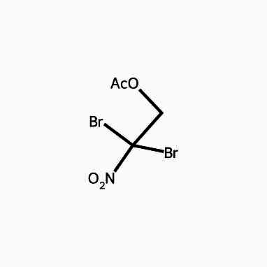 CC(=O)OCC(Br)(Br)[N+](=O)[O-]